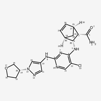 NC(=O)[C@@H]1[C@H](Nc2nc(Nc3cnn([C@@H]4CCOC4)c3)ncc2Cl)[C@H]2C=C[C@@H]1C2